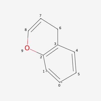 [c]1[c]c2c(cc1)CC=CO2